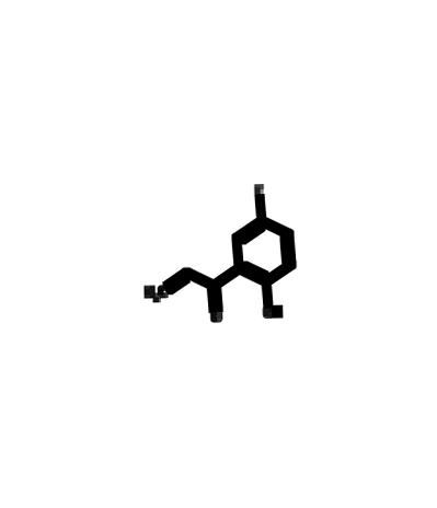 C=CC(=O)c1cc(F)ccc1O